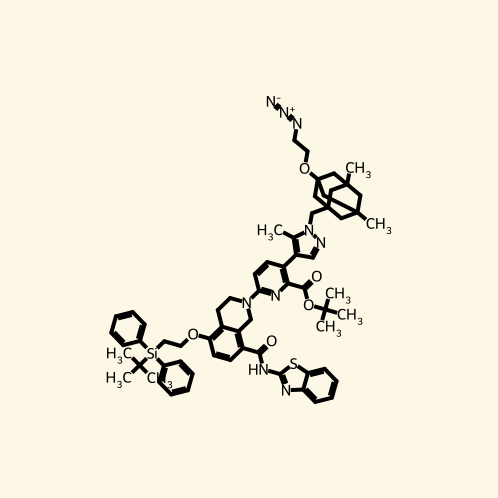 Cc1c(-c2ccc(N3CCc4c(OCC[Si](c5ccccc5)(c5ccccc5)C(C)(C)C)ccc(C(=O)Nc5nc6ccccc6s5)c4C3)nc2C(=O)OC(C)(C)C)cnn1CC12CC3(C)CC(C)(C1)CC(OCCN=[N+]=[N-])(C3)C2